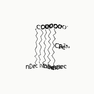 CCCCCCCCCCCCCCCCCCCCCC(=O)[O-].CCCCCCCCCCCCCCCCCCCCCC(=O)[O-].CCCCCCCCCCCCCCCCCCCCCC(=O)[O-].CCCCCCCCCCCCCCCCCCCCCC(=O)[O-].CCCCCCCCCCCCCCCCCCCCCC(=O)[O-].[Ca+2].[Fe+3]